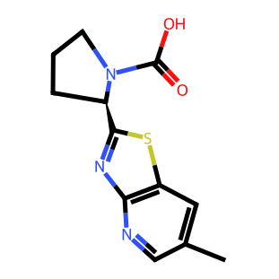 Cc1cnc2nc([C@H]3CCCN3C(=O)O)sc2c1